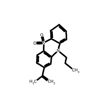 C=C(C)c1ccc2c(c1)N(CCC)c1ccccc1S2(=O)=O